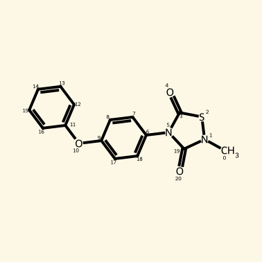 Cn1sc(=O)n(-c2ccc(Oc3ccccc3)cc2)c1=O